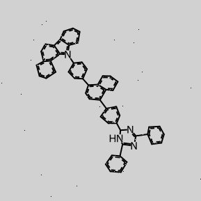 c1ccc(C2=NC(c3ccc(-c4ccc(-c5ccc(-n6c7ccccc7c7ccc8ccccc8c76)cc5)c5ccccc45)cc3)NC(c3ccccc3)=N2)cc1